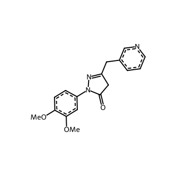 COc1ccc(N2N=C(Cc3cccnc3)CC2=O)cc1OC